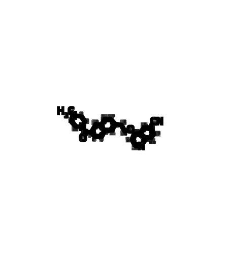 CN1CCN(C(=O)c2ccc3cc(CCOc4ccnc5ccc(C#N)cc45)ccc3c2)CC1